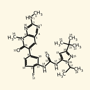 CNc1ncc2cc(-c3ccc(F)c(NC(=O)Nc4cc(C(C)(C)C)nn4C(C)C)c3)c(=O)n(C)c2n1